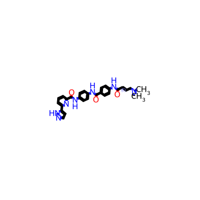 CN(C)C/C=C/C(=O)Nc1ccc(C(=O)Nc2ccc(NC(=O)c3cccc(-c4ccn[nH]4)n3)cc2)cc1